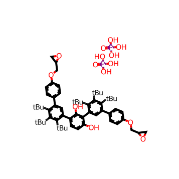 CC(C)(C)c1c(-c2ccc(OCC3CO3)cc2)cc(-c2ccc(O)c(-c3cc(-c4ccc(OCC5CO5)cc4)c(C(C)(C)C)c(C(C)(C)C)c3C(C)(C)C)c2O)c(C(C)(C)C)c1C(C)(C)C.O=P(O)(O)O.O=P(O)(O)O